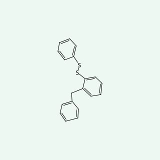 c1ccc(Cc2ccccc2SSc2ccccc2)cc1